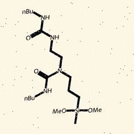 CCCCNC(=O)NCCN(CCC[Si](C)(OC)OC)C(=O)NCCCC